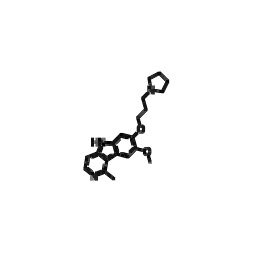 COc1cc2c(cc1OCCCN1CCCC1)[nH]c1ccnc(C)c12